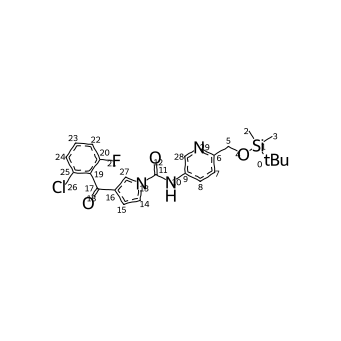 CC(C)(C)[Si](C)(C)OCc1ccc(NC(=O)n2ccc(C(=O)c3c(F)cccc3Cl)c2)cn1